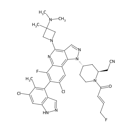 Cc1c(Cl)cc2[nH]ncc2c1-c1c(Cl)cc2c(nc(N3CC(C)(N(C)C)C3)c3cnn([C@H]4CCN(C(=O)/C=C/CF)[C@H](CC#N)C4)c32)c1F